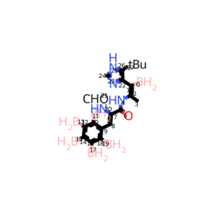 B/C(=C(\C)NC(=O)/C(=C/c1c(B)c(B)c(B)c(B)c1B)NC=O)c1nc[nH]c1C(C)(C)C